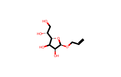 C=CCO[C@@H]1O[C@@H]([C@H](O)CO)C(O)[C@@H]1O